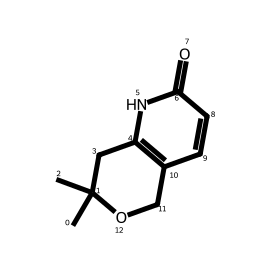 CC1(C)Cc2[nH]c(=O)ccc2CO1